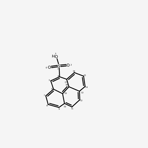 O=S(=O)(O)c1cc2cccc3ccc4cccc1c4c32